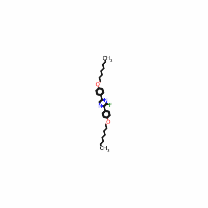 CCCCCCCCOc1ccc(-c2cnc(-c3ccc(OCCCCCCCC)cc3)c(F)n2)cc1